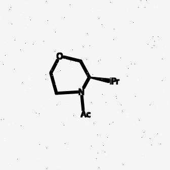 CC(=O)N1CCOC[C@H]1C(C)C